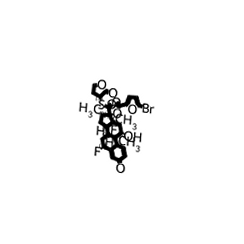 C[C@@H]1C[C@H]2[C@@H]3C[C@H](F)C4=CC(=O)C=C[C@]4(C)[C@@]3(F)[C@@H](O)C[C@]2(C)[C@@]1(OC(=O)c1ccc(Br)o1)C(=O)S[C@H]1CCOC1=O